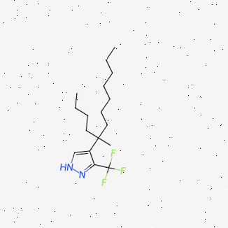 CCCCCCCC(C)(CCCC)c1c[nH]nc1C(F)(F)F